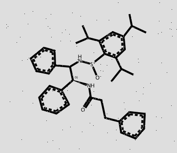 CC(C)c1cc(C(C)C)c([S+]([O-])NC(c2ccccc2)[C@@H](NC(=O)CCc2ccccc2)c2ccccc2)c(C(C)C)c1